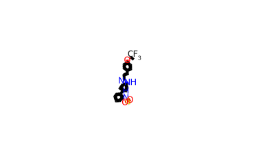 CC(Oc1ccc(/C=C/c2nc3cc(-c4ccccc4NS(C)(=O)=O)ccc3[nH]2)cc1)C(F)(F)F